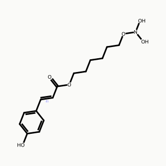 O=C(/C=C/c1ccc(O)cc1)OCCCCCCON(O)O